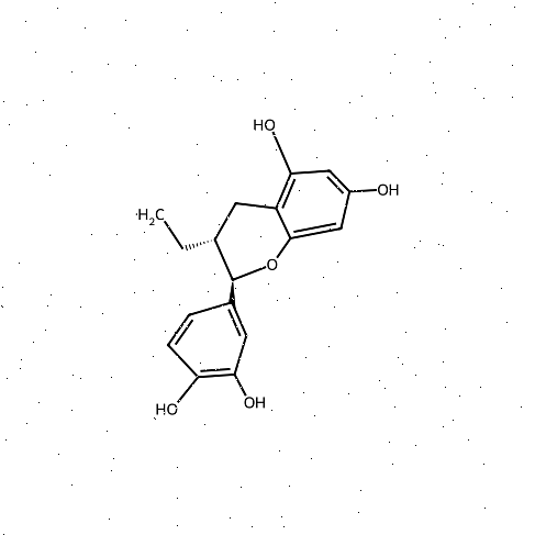 [CH2]C[C@@H]1Cc2c(O)cc(O)cc2O[C@H]1c1ccc(O)c(O)c1